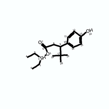 CC[SH](CC)OC(=O)CC(c1ccc(O)cc1)C(C)(C)C